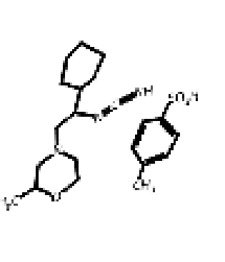 CC1CN(CC(N=C=N)C2CCCCC2)CCO1.Cc1ccc(S(=O)(=O)O)cc1